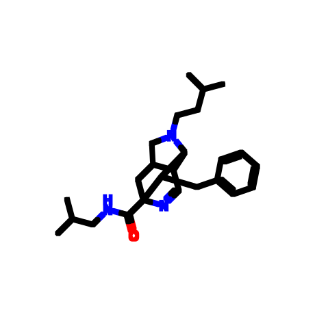 CC(C)CCN1CC2CC3(C(=O)NCC(C)C)N=CC2C1C3Cc1ccccc1